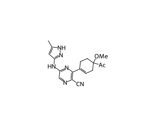 COC1(C(C)=O)CC=C(c2nc(Nc3cc(C)[nH]n3)cnc2C#N)CC1